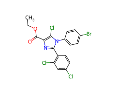 CCOC(=O)c1nc(-c2ccc(Cl)cc2Cl)n(-c2ccc(Br)cc2)c1Cl